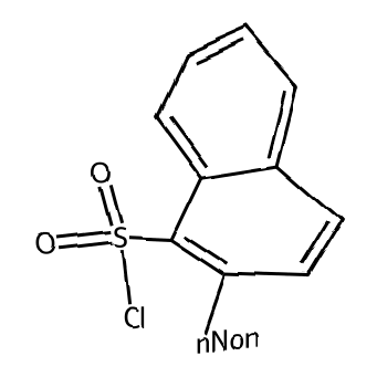 CCCCCCCCCc1ccc2ccccc2c1S(=O)(=O)Cl